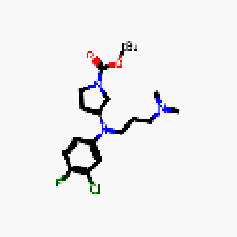 CN(C)CCCN(c1ccc(F)c(Cl)c1)[C@H]1CCN(C(=O)OC(C)(C)C)C1